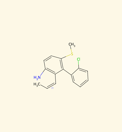 C/C=C\c1c(N)ccc(SC)c1-c1ccccc1Cl